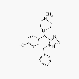 CN1CCN(C(c2ccc(O)nc2)c2nnnn2Cc2ccccc2)CC1